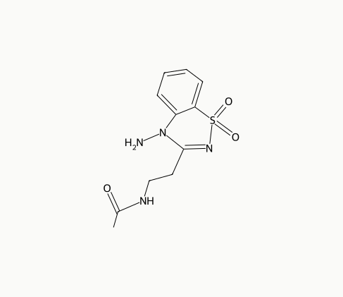 CC(=O)NCCC1=NS(=O)(=O)c2ccccc2N1N